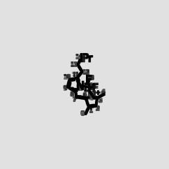 CC1=CC(C)=[N+]2C1=Cc1ccc(CCC(C)C)n1[B-]2(F)F